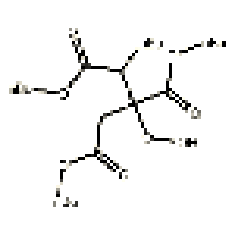 CCCCOC(=O)CC(OO)(C(=O)OCCCC)C(CCCC)C(=O)OCCCC